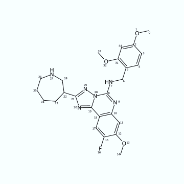 COc1ccc(CNc2nc3cc(OC)c(F)cc3c3nc(C4CCCCNC4)nn23)c(OC)c1